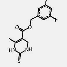 CC1=C(C(=O)OCc2cc(F)cc(F)c2)CNC(=S)N1